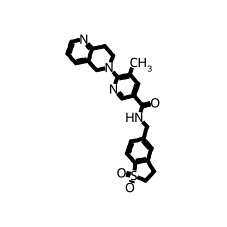 Cc1cc(C(=O)NCc2ccc3c(c2)CCS3(=O)=O)cnc1N1CCc2ncccc2C1